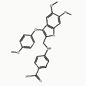 COc1ccc(Oc2c(CNc3ccc(C(=O)O)cc3)sc3cc(OC)c(OC)cc23)cc1